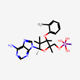 CC1(COP(O)(O)(O)I)O[C@@](C)(n2cnc3c(N)ncnc32)C(C)(C)C1(C)Oc1ccccc1[N+](=O)[O-]